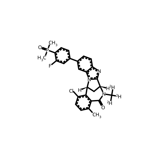 [2H]C([2H])([2H])N1C(=O)c2c(C)ccc(Cl)c2[C@H]2C[C@@H]1c1nc3ccc(-c4ccc(P(C)(C)=O)c(F)c4)cc3n12